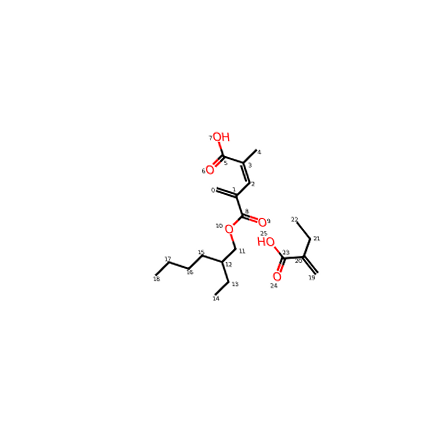 C=C(C=C(C)C(=O)O)C(=O)OCC(CC)CCCC.C=C(CC)C(=O)O